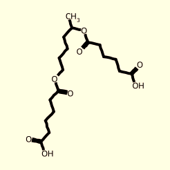 CC(CCCCOC(=O)CCCCC(=O)O)OC(=O)CCCCC(=O)O